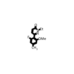 CCn1nc(-c2c(F)cc(C)cc2OC)ccc1=O